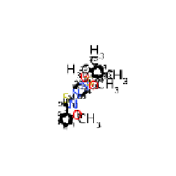 COc1ccccc1-c1csc(N2CCN(S(=O)(=O)c3c(C)c(C)cc(C)c3C)CC2)n1